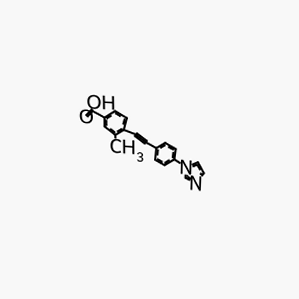 Cc1cc(C(=O)O)ccc1C#Cc1ccc(-n2ccnc2)cc1